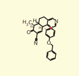 C[C@@H]1C(=O)C(C#N)=C[C@]2(c3cccc(OCc4ccccc4)c3)c3ncncc3CC[C@@H]12